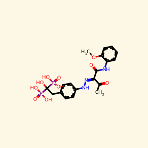 COc1ccccc1NC(=O)/C(=N/Nc1ccc(CC(O)(P(=O)(O)O)P(=O)(O)O)cc1)C(C)=O